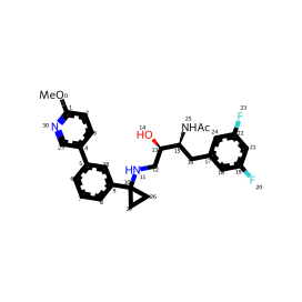 COc1ccc(-c2cccc(C3(NC[C@@H](O)[C@H](Cc4cc(F)cc(F)c4)NC(C)=O)CC3)c2)cn1